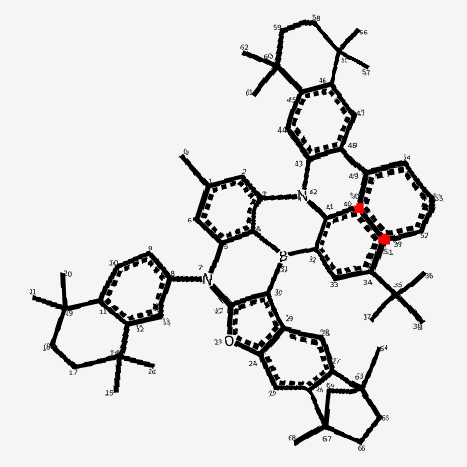 Cc1cc2c3c(c1)N(c1ccc4c(c1)C(C)(C)CCC4(C)C)c1oc4cc5c(cc4c1B3c1cc(C(C)(C)C)ccc1N2c1cc2c(cc1-c1ccccc1)C(C)(C)CCC2(C)C)C1(C)CCC5(C)C1